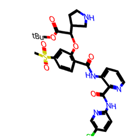 CC(C)(C)OC(=O)C(Oc1cc(S(C)(=O)=O)ccc1C(=O)Nc1cccnc1C(=O)Nc1ccc(Cl)cn1)C1CCNC1